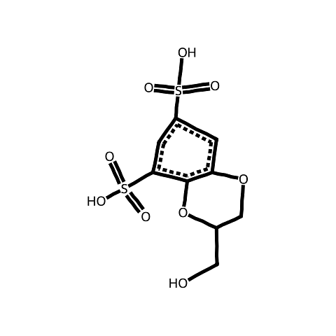 O=S(=O)(O)c1cc2c(c(S(=O)(=O)O)c1)OC(CO)CO2